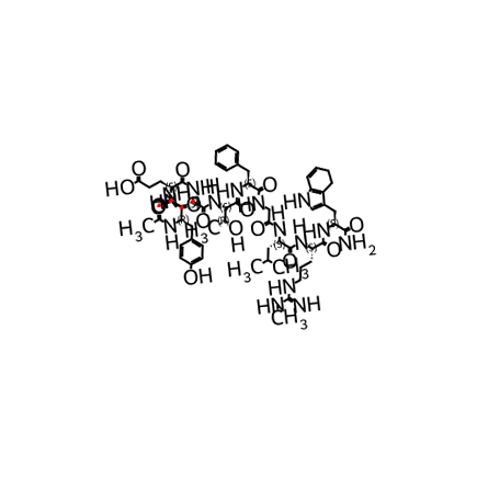 CNC(=N)NCCC[C@H](NC(=O)[C@H](CC(C)C)NC(=O)CNC(=O)[C@H](Cc1ccccc1)NC(=O)[C@@H](NC(=O)[C@H](CC(N)=O)NC(=O)[C@H](CCC(=O)O)NC(=O)[C@@H](Cc1ccc(O)cc1)NC(C)=O)[C@@H](C)O)C(=O)N[C@@H](Cc1c[nH]c2c1CCC=C2)C(N)=O